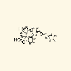 O=C(O)c1sc2[nH]nc(N3CCC(COCCN4CCCC4)CC3)c2c1-c1ccccc1